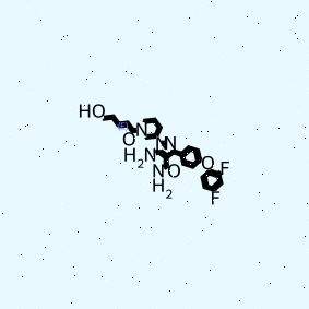 NC(=O)c1c(-c2ccc(Oc3ccc(F)cc3F)cc2)nn(C2CCCN(C(=O)/C=C/CCO)C2)c1N